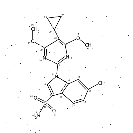 COc1nc(-n2cc(S(N)(=O)=O)c3ccc(Cl)cc32)nc(OC)c1C1CC1